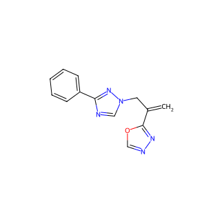 C=C(Cn1cnc(-c2ccccc2)n1)c1nnco1